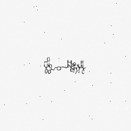 CC(=O)Nc1nc(S(=O)(=O)NCCOCCC(=O)ON2C(=O)CCC2=O)c(C)s1